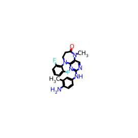 Cc1cc(Nc2ncc3c(n2)N(c2c(F)cccc2F)CCC(=O)N3C)ccc1N